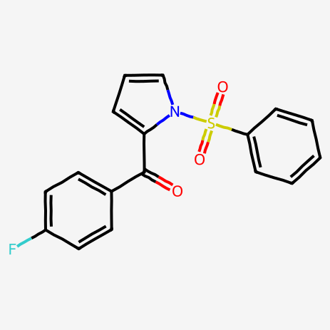 O=C(c1ccc(F)cc1)c1cccn1S(=O)(=O)c1ccccc1